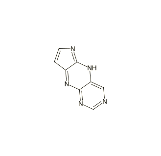 c1cc2nc3ncncc3[nH]c-2n1